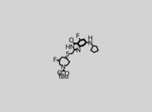 CC(C)(C)OC(=O)N1CC[C@H](SCc2nc3cc(NC4CCCC4)cc(F)c3c(=O)[nH]2)C[C@H](F)C1